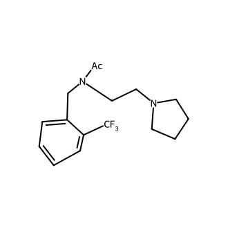 CC(=O)N(CCN1CCCC1)Cc1ccccc1C(F)(F)F